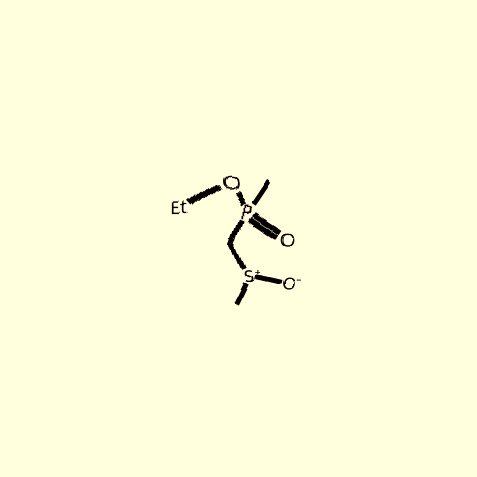 CCOP(C)(=O)C[S+](C)[O-]